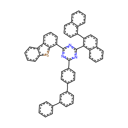 c1ccc(-c2cccc(-c3ccc(-c4nc(-c5c(-c6cccc7ccccc67)ccc6ccccc56)nc(-c5cccc6c5sc5ccccc56)n4)cc3)c2)cc1